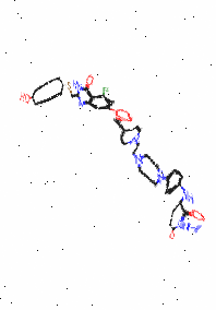 O=C1CCC(Nc2ccc(N3CCN(CCN4CCC(COc5cc(F)c6c(=O)[nH]c(CS[C@H]7CC[C@H](O)CC7)nc6c5)CC4)CC3)cc2)C(=O)N1